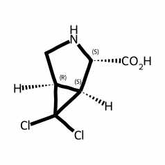 O=C(O)[C@H]1NC[C@H]2[C@@H]1C2(Cl)Cl